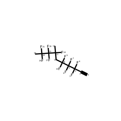 C#CC(F)(F)C(F)(F)C(F)(F)CC(C)(F)C(F)(F)C(C)(F)F